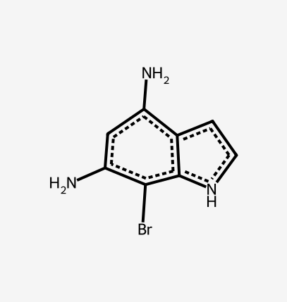 Nc1cc(N)c2cc[nH]c2c1Br